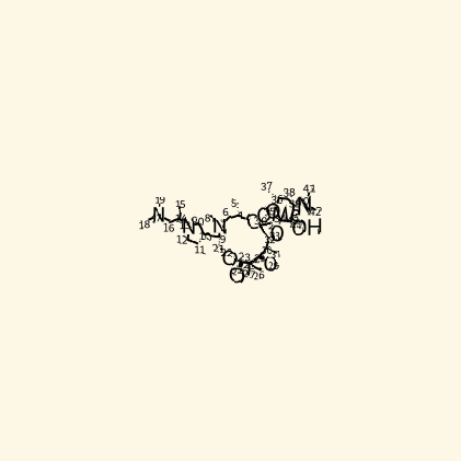 CO[C@]1(C)C[C@@H](C)CN(C)[C@@H]([C@@H]2CCN(C(C)CN(C)C)C2)COC(=O)C(C)(C)C(=O)[C@H](C)[C@H]1O[C@@H]1O[C@H](C)C[C@H](N(C)C)[C@H]1O